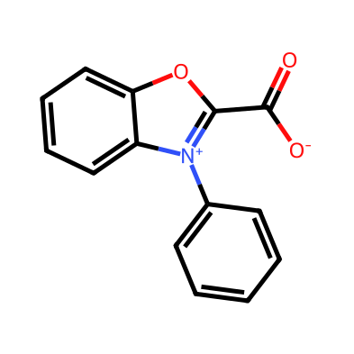 O=C([O-])c1oc2ccccc2[n+]1-c1ccccc1